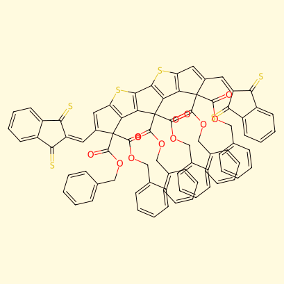 O=C(OCc1ccccc1)C1(C(=O)OCc2ccccc2)C(C=C2C(=S)c3ccccc3C2=S)=Cc2sc3c(c21)C(C(=O)OCc1ccccc1)(C(=O)OCc1ccccc1)c1c-3sc2c1C(C(=O)OCc1ccccc1)(C(=O)OCc1ccccc1)C(C=C1C(=S)c3ccccc3C1=S)=C2